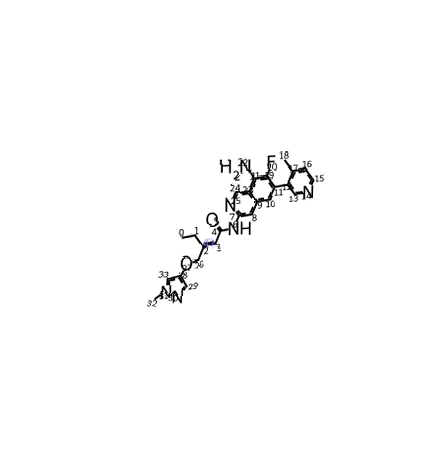 CC/C(=C\C(=O)Nc1cc2cc(-c3cnccc3C)c(F)c(N)c2cn1)COc1cnn(C)c1